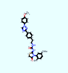 COc1ccc(C(C)C)c(N2C(=O)CS/C2=N\C(=O)NCCc2ccc(-c3ncn(-c4ccc(OC(F)(F)F)cc4)n3)cc2)c1